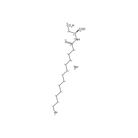 CC(C)CCCCCCCCCCCCC(=O)N[C@@H](CC(=O)O)C(=O)[O-].[Na+]